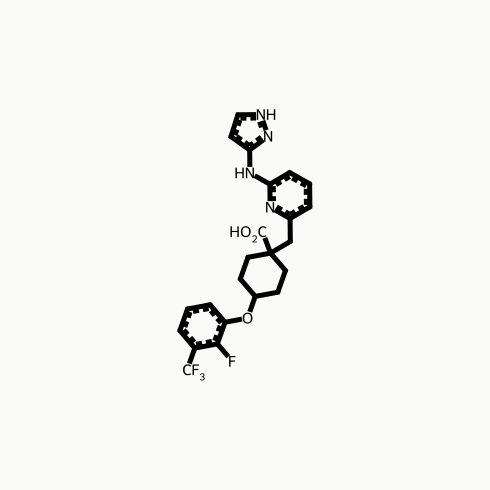 O=C(O)C1(Cc2cccc(Nc3cc[nH]n3)n2)CCC(Oc2cccc(C(F)(F)F)c2F)CC1